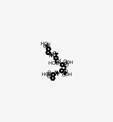 CC(=O)c1cc(N=Nc2ccc(/C=C\c3ccc(-n4n5c6cc(S(=O)(=O)O)c7ccccc7c6n45)cc3S(=O)(=O)O)c(S(=O)(=O)O)c2)c(C(=O)O)cc1-n1n2c3ccc4cc(S(=O)(=O)O)ccc4c3n12